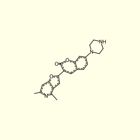 Cc1cc2oc(-c3cc4ccc(N5CCNCC5)cc4oc3=O)cc2c(C)n1